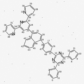 c1ccc(-c2nc(-c3ccccc3)nc(-c3ccc(-c4ccc(-c5cc(-c6ccccn6)nc(-c6ccccn6)c5)c5ccccc45)cc3)n2)cc1